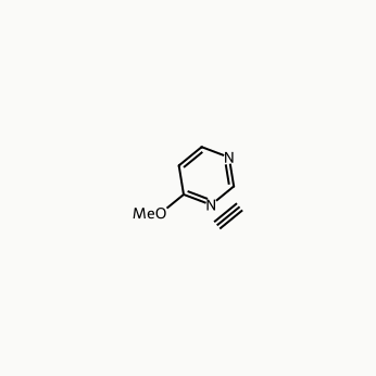 C#C.COc1ccncn1